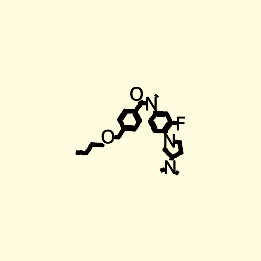 CCCCOCc1ccc(C(=O)N(C)c2ccc(N3CCC(N(C)C)C3)c(F)c2)cc1